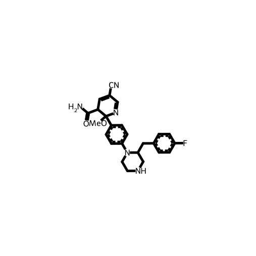 COC1(c2ccc(N3CCNCC3Cc3ccc(F)cc3)cc2)N=CC(C#N)=CC1C(N)=O